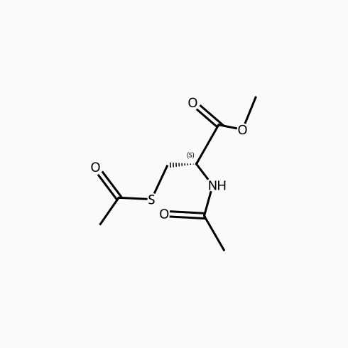 COC(=O)[C@@H](CSC(C)=O)NC(C)=O